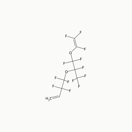 C=CC(F)(F)C(F)(F)OC(F)(C(F)(F)F)C(F)(F)OC(F)=C(F)F